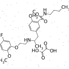 CCCCNS(=O)(=O)c1cc(CC(C)NCCOc2cc(F)ccc2OC)ccc1OC.O=C(O)C(=O)O